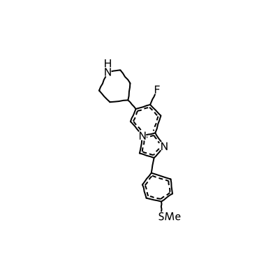 CSc1ccc(-c2cn3cc(C4CCNCC4)c(F)cc3n2)cc1